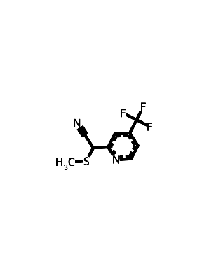 CSC(C#N)c1cc(C(F)(F)F)ccn1